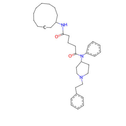 O=C(CCCC(=O)N(c1ccccc1)C1CCN(CCc2ccccc2)CC1)NC1CCCCCCCCCC1